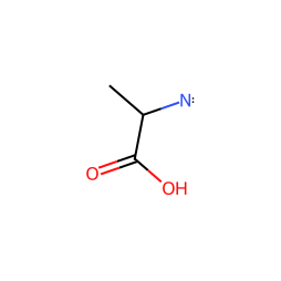 CC([N])C(=O)O